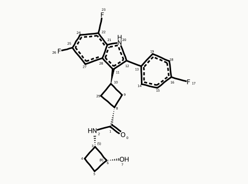 O=C(N[C@H]1CC[C@H]1O)[C@H]1C[C@H](c2c(-c3ccc(F)cc3)[nH]c3c(F)cc(F)cc32)C1